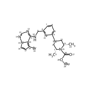 C[C@@H]1CN(c2cccc(CNc3ncnn4ccc(Br)c34)n2)C[C@H](C)N1C(=O)OC(C)(C)C